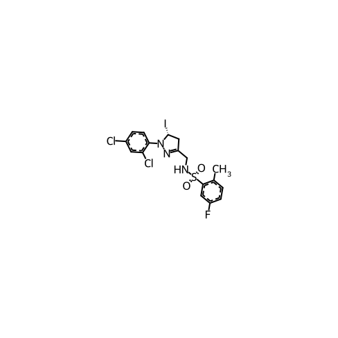 Cc1ccc(F)cc1S(=O)(=O)NCC1=NN(c2ccc(Cl)cc2Cl)[C@H](I)C1